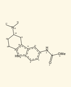 COC(=O)Nc1ccc2[nH]c3c(c2c1)CC(N(C)C)CC3